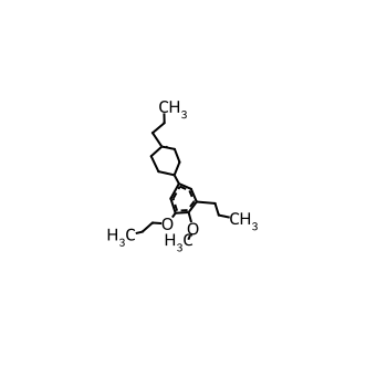 CCCOc1cc(C2CC[C](CCC)CC2)cc(CCC)c1OC